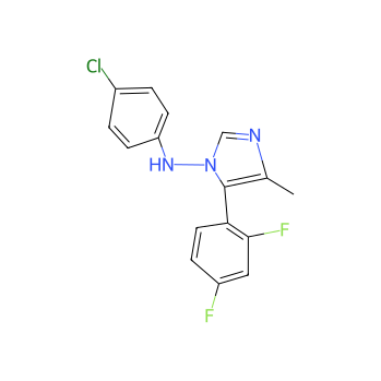 Cc1ncn(Nc2ccc(Cl)cc2)c1-c1ccc(F)cc1F